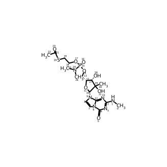 CNc1nc(=O)n2ccn([C@@H]3O[C@H](COP(=O)(OCCSC(C)=O)N(C)C)[C@H](O)C3(C)O)c2n1